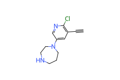 C#Cc1cc(N2CCCNCC2)cnc1Cl